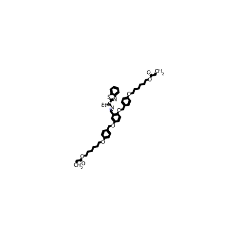 C=CC(=O)OCCCCCCOc1ccc(COc2ccc(OCc3ccc(OCCCCCCOC(=O)C=C)cc3)c(/C=N/N(CC)c3nc4ccccc4s3)c2)cc1